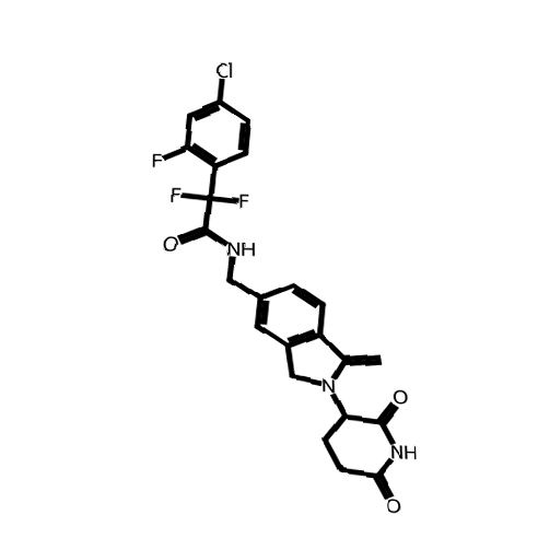 C=C1c2ccc(CNC(=O)C(F)(F)c3ccc(Cl)cc3F)cc2CN1C1CCC(=O)NC1=O